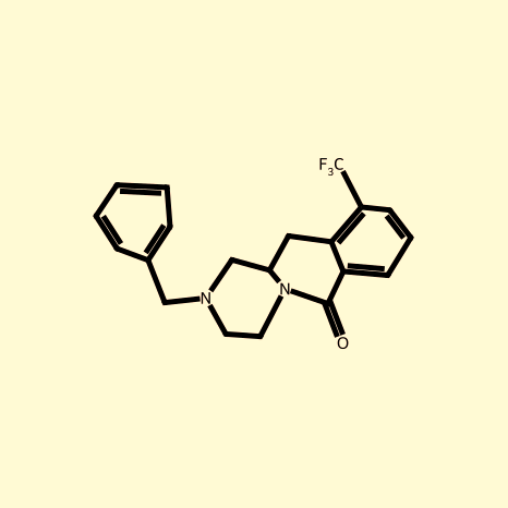 O=C1c2cccc(C(F)(F)F)c2CC2CN(Cc3ccccc3)CCN12